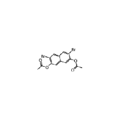 CC(=O)Oc1cc2cc(OC(C)=O)c(Br)cc2cc1Br